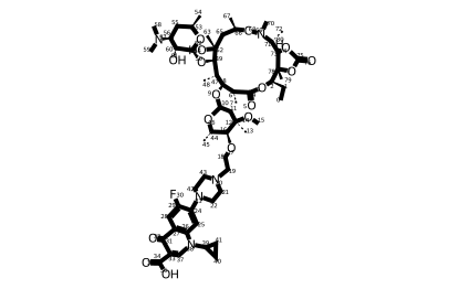 CC[C@H]1OC(=O)[C@H](C)[C@@H](OC2C[C@@](C)(OC)[C@@H](OCCN3CCN(c4cc5c(cc4F)c(=O)c(C(=O)O)cn5C4CC4)CC3)[C@H](C)O2)[C@H](C)[C@@H](O[C@@H]2O[C@H](C)C[C@H](N(C)C)[C@H]2O)[C@](C)(O)C[C@@H](C)CN(C)[C@H](C)[C@@H]2OC(=O)O[C@]12C